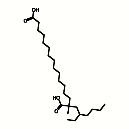 CCCCC(CC)CC(C)(CCCCCCCCCCCCCC(=O)O)C(=O)O